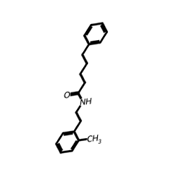 Cc1ccccc1CCNC(=O)CCCCc1ccccc1